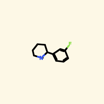 Fc1cccc(C2CCCC[N]2)c1